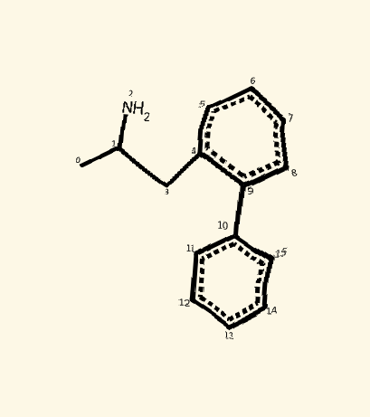 CC(N)Cc1ccccc1-c1ccccc1